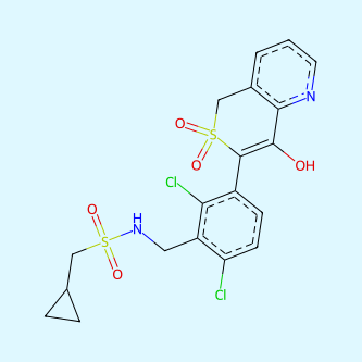 O=S(=O)(CC1CC1)NCc1c(Cl)ccc(C2=C(O)c3ncccc3CS2(=O)=O)c1Cl